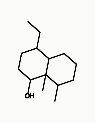 CCC1CCC(O)C2(C)C(C)CCCC12